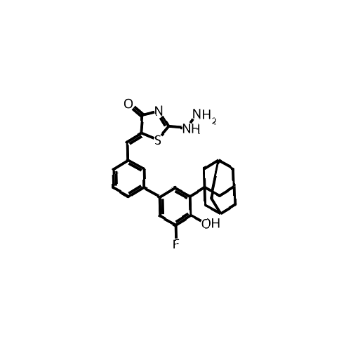 NNC1=NC(=O)C(=Cc2cccc(-c3cc(F)c(O)c(C45CC6CC(CC(C6)C4)C5)c3)c2)S1